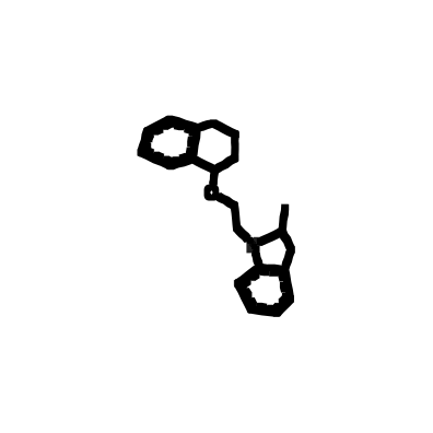 CC1Cc2ccccc2N1CCOC1CCCc2ccccc21